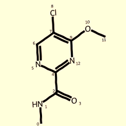 CNC(=O)c1ncc(Cl)c(OC)n1